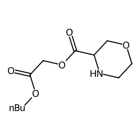 CCCCOC(=O)COC(=O)C1COCCN1